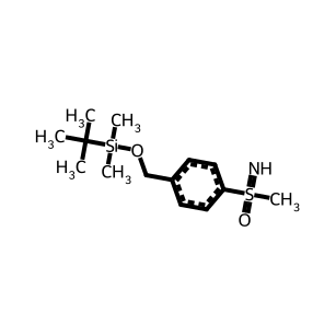 CC(C)(C)[Si](C)(C)OCc1ccc(S(C)(=N)=O)cc1